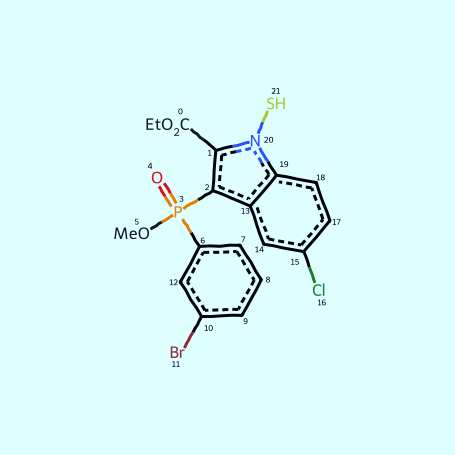 CCOC(=O)c1c(P(=O)(OC)c2cccc(Br)c2)c2cc(Cl)ccc2n1S